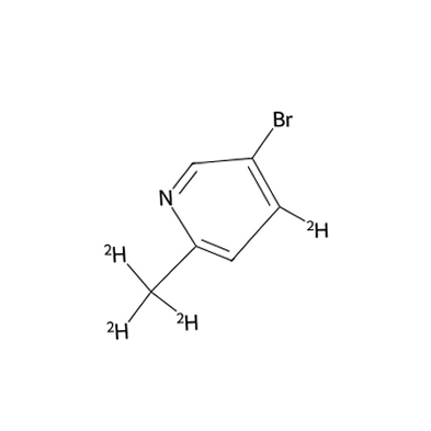 [2H]c1cc(C([2H])([2H])[2H])ncc1Br